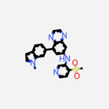 Cn1ccc2ccc(-c3cc(Nc4cnccc4S(C)(=O)=O)cc4nccnc34)cc21